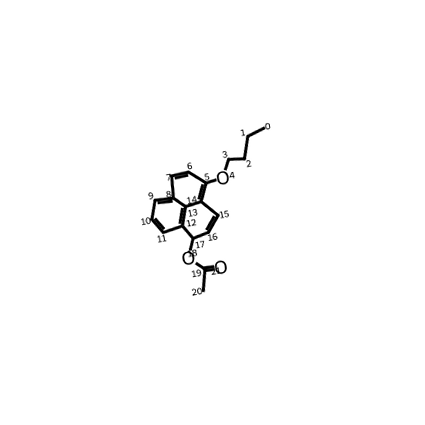 CCCCOc1ccc2cccc3c2c1C=CC3OC(C)=O